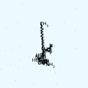 CCCCCCCCCCCCCCCCCCOC[C@@H](COP(=O)(O)OC[C@@]1(C#N)O[C@@H](c2ccc3c(N)ncnn23)[C@H](O)[C@@H]1O)OCc1cc(F)cc(C#N)c1